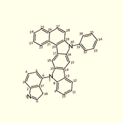 C1=Nc2cccc(-n3c4ccccc4c4cc5c(cc43)c3c4ccccc4ccc3n5-c3ccccc3)c2C1